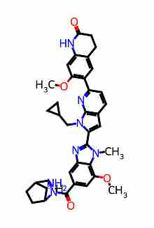 COc1cc2c(cc1-c1ccc3cc(-c4nc5cc(C(=O)N6CC7CCC6[C@@H]7N)cc(OC)c5n4C)n(CC4CC4)c3n1)CCC(=O)N2